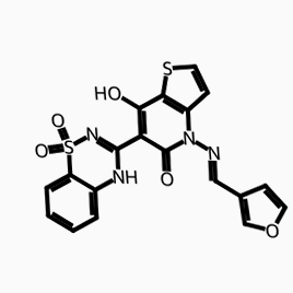 O=c1c(C2=NS(=O)(=O)c3ccccc3N2)c(O)c2sccc2n1N=Cc1ccoc1